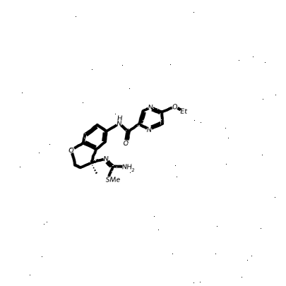 CCOc1cnc(C(=O)Nc2ccc3c(c2)[C@@](C)(/N=C(/N)SC)CCO3)cn1